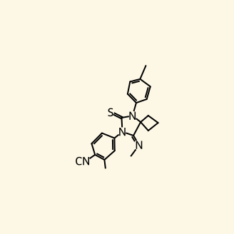 [C-]#[N+]c1ccc(N2C(=S)N(c3ccc(C)cc3)C3(CCC3)C2=NC)cc1C